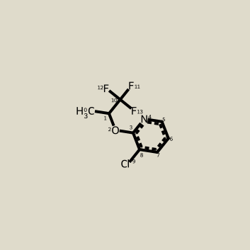 CC(Oc1ncccc1Cl)C(F)(F)F